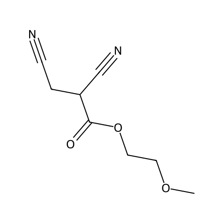 COCCOC(=O)C(C#N)CC#N